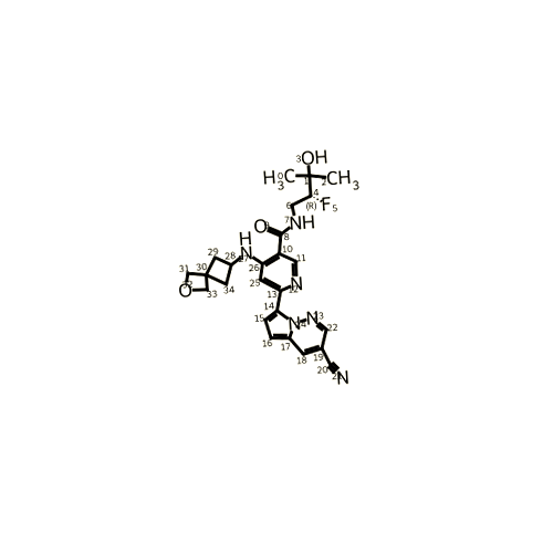 CC(C)(O)[C@H](F)CNC(=O)c1cnc(-c2ccc3cc(C#N)cnn23)cc1NC1CC2(COC2)C1